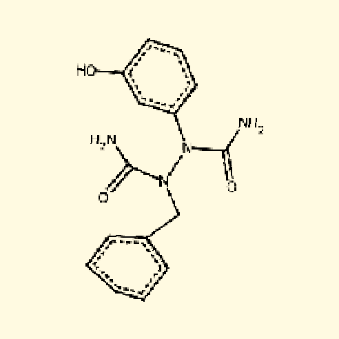 NC(=O)N(Cc1ccccc1)N(C(N)=O)c1cccc(O)c1